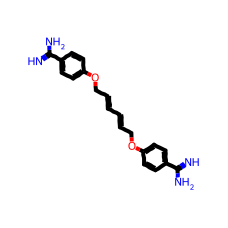 N=C(N)c1ccc(OC/C=C/C=C/COc2ccc(C(=N)N)cc2)cc1